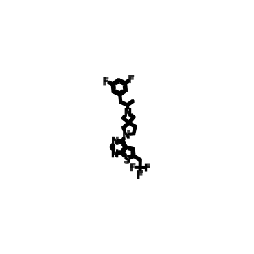 CC(Cc1cc(F)cc(F)c1)N1CC2(CCN(c3ncnc4sc(CC(F)(F)F)cc34)C2)C1